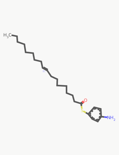 CCCCCCCC/C=C/CCCCCCCC(=O)Sc1ccc(N)cc1